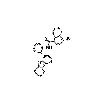 O=C(Nc1ccccc1-c1cccc2c1oc1ccccc12)c1ccc(Br)c2ccccc12